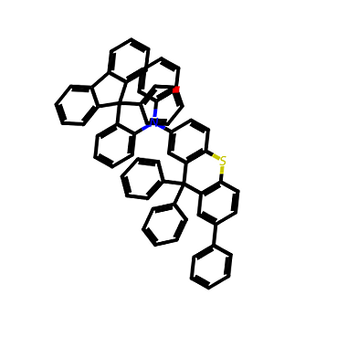 c1ccc(-c2ccc3c(c2)C(c2ccccc2)(c2ccccc2)c2cc(N(c4ccccc4)c4ccccc4C4(c5ccccc5)c5ccccc5-c5ccccc54)ccc2S3)cc1